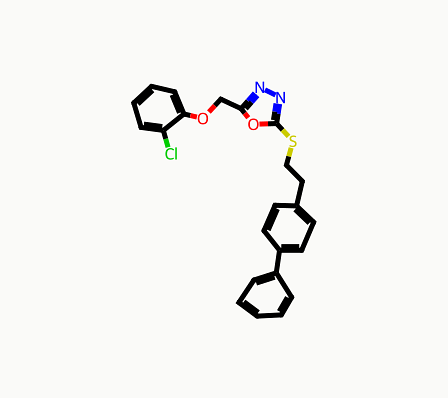 Clc1ccccc1OCc1nnc(SCCc2ccc(-c3ccccc3)cc2)o1